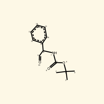 CC(C)(C)OC(=O)NC(C=O)c1ccccc1